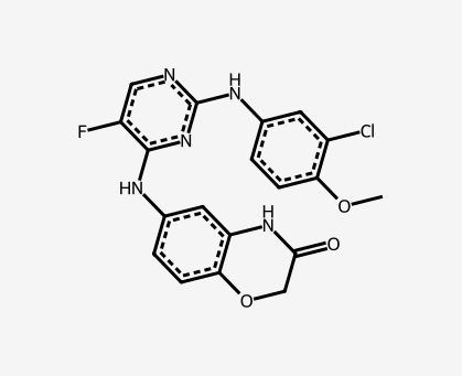 COc1ccc(Nc2ncc(F)c(Nc3ccc4c(c3)NC(=O)CO4)n2)cc1Cl